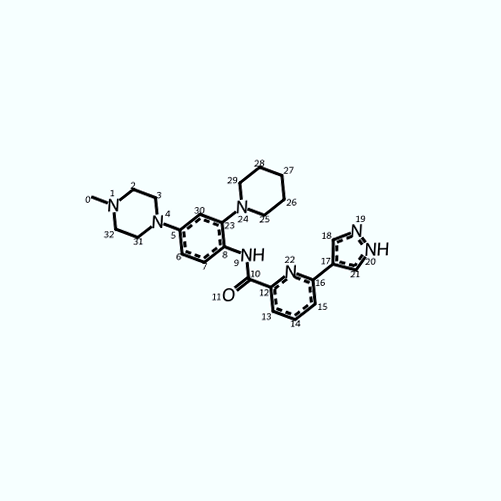 CN1CCN(c2ccc(NC(=O)c3cccc(-c4cn[nH]c4)n3)c(N3CCCCC3)c2)CC1